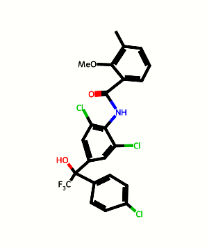 COc1c(C)cccc1C(=O)Nc1c(Cl)cc(C(O)(c2ccc(Cl)cc2)C(F)(F)F)cc1Cl